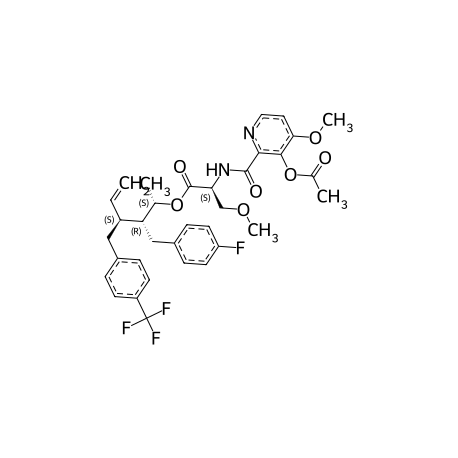 C=C[C@H](Cc1ccc(C(F)(F)F)cc1)[C@@H](Cc1ccc(F)cc1)[C@H](C)OC(=O)[C@H](COC)NC(=O)c1nccc(OC)c1OC(C)=O